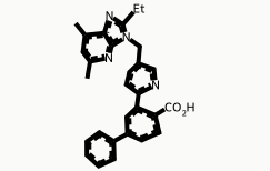 CCc1nc2c(C)cc(C)nc2n1Cc1ccc(-c2cc(-c3ccccc3)ccc2C(=O)O)nc1